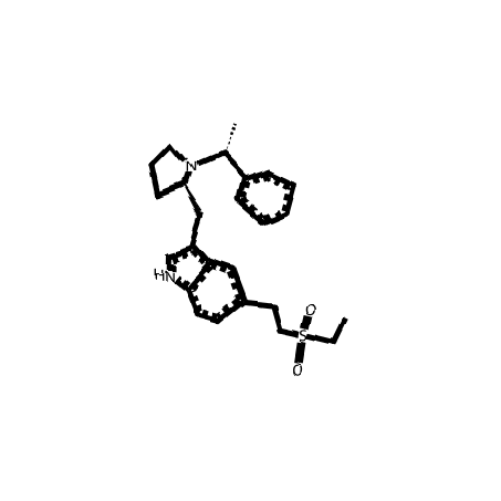 CCS(=O)(=O)CCc1ccc2[nH]cc(C[C@H]3CCCN3[C@H](C)c3ccccc3)c2c1